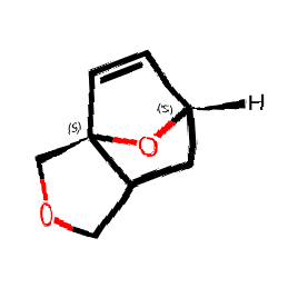 C1=C[C@@]23COCC2C[C@@H]1O3